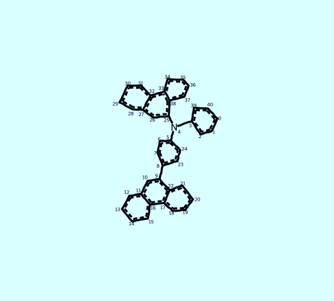 c1ccc(N(c2ccc(-c3cc4ccccc4c4ccccc34)cc2)c2cc3ccccc3c3ccccc23)cc1